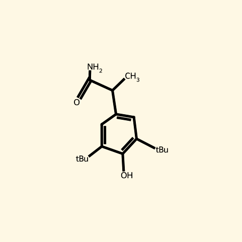 CC(C(N)=O)c1cc(C(C)(C)C)c(O)c(C(C)(C)C)c1